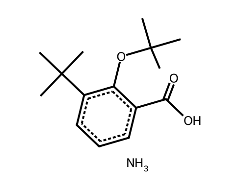 CC(C)(C)Oc1c(C(=O)O)cccc1C(C)(C)C.N